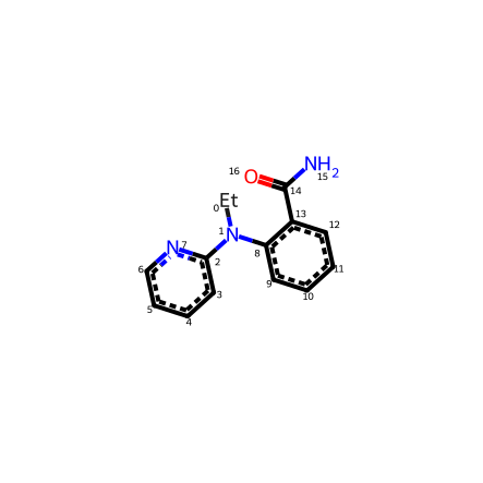 CCN(c1ccccn1)c1ccccc1C(N)=O